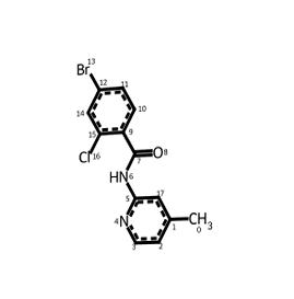 Cc1ccnc(NC(=O)c2ccc(Br)cc2Cl)c1